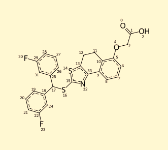 O=C(O)COc1cccc2c1CCc1sc(SC(c3cccc(F)c3)c3cccc(F)c3)nc1-2